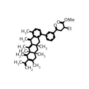 C=C(C)C1=C(C)C[C@@]2(C)C[C@@]3(C)Cc4c(-c5cccc(C(=O)CC(CC)C(=O)OC)c5)ccc(C)c4C(=C)C3=C(C)[C@@]2(C)C1=C